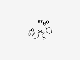 CC(C)[N+]([O-])=Cc1ccccc1-n1[se]c2c3c(ccc2c1=O)OCO3